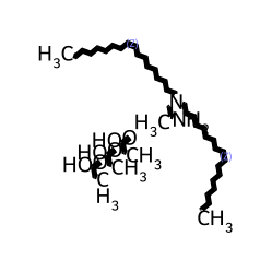 CCC(=O)O.CCC(=O)O.CCC(=O)O.CCCCCCCC/C=C\CCCCCCCCN(CCCCCCCC/C=C\CCCCCCCC)CC(C)N